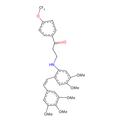 COc1cc(/C=C\c2cc(OC)c(OC)c(OC)c2)c(NCCC(=O)c2ccc(OC(F)(F)F)cc2)cc1OC